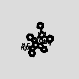 CC1(C)c2ccccc2-c2c3c(c4c(c21)c1ccccc1n4-c1cc(-c2ccccc2)nc(-c2ccccc2)n1)C(C)(C)c1ccccc1-3